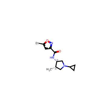 CCc1cc(C(=O)N[C@@H]2CN(C3CC3)C[C@@H]2C)no1